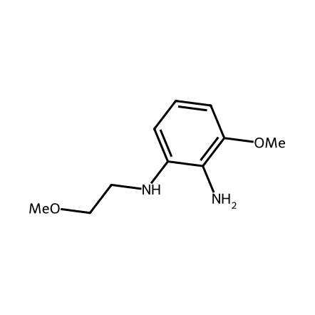 COCCNc1cccc(OC)c1N